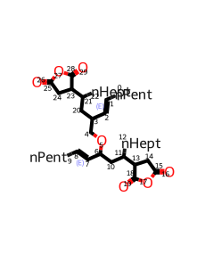 CCCCC/C=C/C(COC(/C=C/CCCCC)CC(CCCCCCC)C1CC(=O)OC1=O)CC(CCCCCCC)C1CC(=O)OC1=O